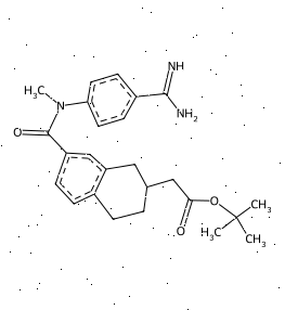 CN(C(=O)c1ccc2c(c1)CC(CC(=O)OC(C)(C)C)CC2)c1ccc(C(=N)N)cc1